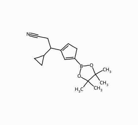 CC1(C)OB(C2=CC(C(CC#N)C3CC3)=CC2)OC1(C)C